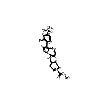 CC(C)OC(=O)N1CCC(Oc2ccnc3c(-c4ccc(S(C)(=O)=O)cc4F)cnn23)CC1